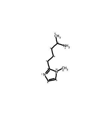 CC(N)CCCc1nccn1C